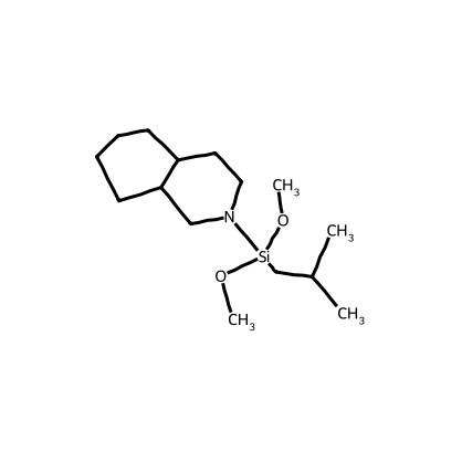 CO[Si](CC(C)C)(OC)N1CCC2CCCCC2C1